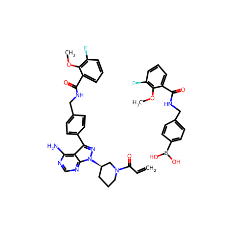 C=CC(=O)N1CCC[C@@H](n2nc(-c3ccc(CNC(=O)c4cccc(F)c4OC)cc3)c3c(N)ncnc32)C1.COc1c(F)cccc1C(=O)NCc1ccc(B(O)O)cc1